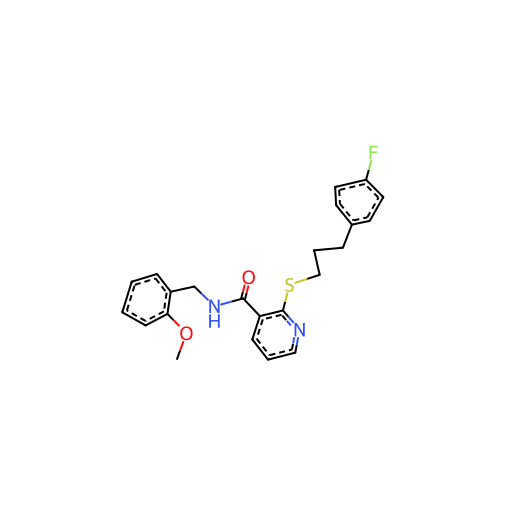 COc1ccccc1CNC(=O)c1cccnc1SCCCc1ccc(F)cc1